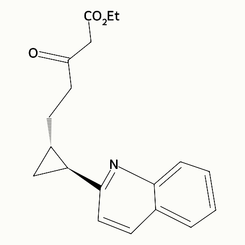 CCOC(=O)CC(=O)CC[C@H]1C[C@@H]1c1ccc2ccccc2n1